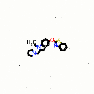 CCn1c(CN2CCCC2)cc2cc(Oc3nc4ccccc4s3)ccc21